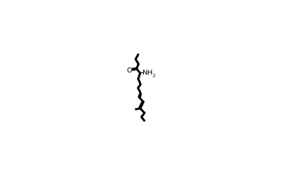 CCCC(=O)[C@H](N)CCC/C=C/C=C(\C)CCC